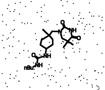 CCCCNC(=O)NC1CCC(C)(CN2CC(C)(C)C(=O)NC2=O)CC1